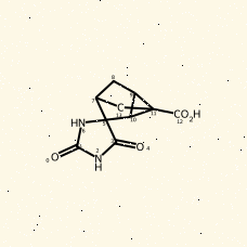 O=C1NC(=O)C2(N1)C1CC3C2C3(C(=O)O)C1